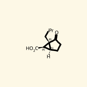 CC(C)C[C@@]12C(=O)CC[C@H]1[C@H]2C(=O)O